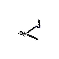 CCCCC/C=C\C/C=C\CCCCCCCCN(CCCCCCCCCC)C(=O)OC1CCN(C)CC1